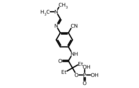 CCC(CC)(OP(=O)(O)O)C(=O)Nc1ccc(N=CN(C)C)c(C#N)c1